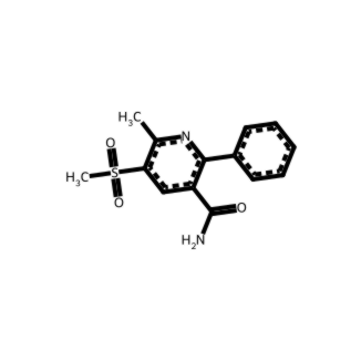 Cc1nc(-c2ccccc2)c(C(N)=O)cc1S(C)(=O)=O